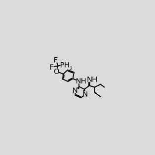 CCC(CC)C(=N)c1nccnc1Nc1ccc(OC(F)(F)P)cc1